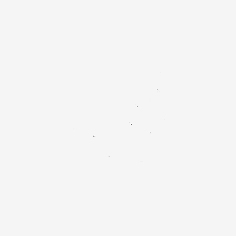 CCC(O)[C@H]1O[C@H]2n3cnc4c3N(C=NC4(Cl)NNC=O)OC(C)(C)O[C@@]2(O)[C@@H]1O